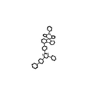 c1ccc(-c2ccc(-c3cc(-c4ccccc4)nc(-c4ccc(-c5cccc6c5-c5ccccc5C65c6ccccc6N(c6ccccc6)c6ccccc65)cc4)n3)cc2)cc1